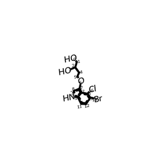 OCC(O)CCOc1[c][nH]c2ccc(Br)c(Cl)c12